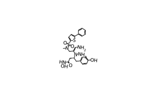 CN(C/C(=C/N)N(N)[C@H](CC(=O)NO)Cc1ccc(O)cc1)S(=O)(=O)c1ccc(-c2ccccc2)s1